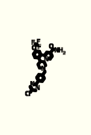 NC(=O)c1ccnc(-c2cc(OC(F)(F)F)ccc2C2CCN(Cc3ccc(-c4ncc(Cl)cn4)cc3)CC2)c1